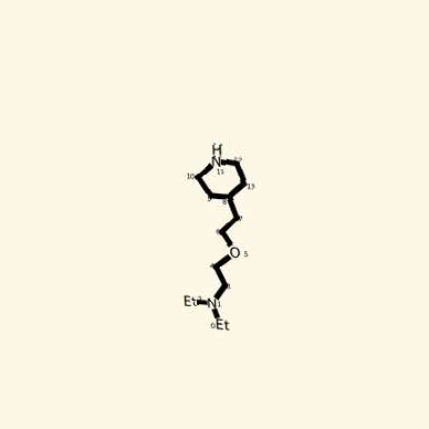 CCN(CC)CCOCCC1CCNCC1